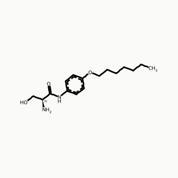 CCCCCCCOc1ccc(NC(=O)[C@@H](N)CO)cc1